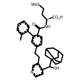 CSCC[C@H](NC(=O)c1ccc(CCc2cnccc2C(O)C23CC4CC(CC(C4)C2)C3)cc1-c1ccccc1C)C(=O)O